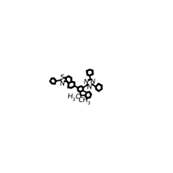 CC1(C)c2ccccc2-c2c(-c3nc(-c4ccccc4)nc(-c4ccccc4)n3)cc(-c3ccc4c(ccc5sc(-c6ccccc6)nc54)c3)cc21